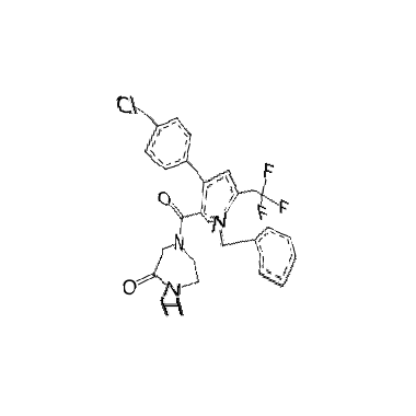 O=C1CN(C(=O)c2c(-c3ccc(Cl)cc3)cc(C(F)(F)F)n2Cc2ccccc2)CCN1